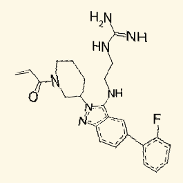 C=CC(=O)N1CCCC(n2nc3ccc(-c4ccccc4F)cc3c2NCCNC(=N)N)C1